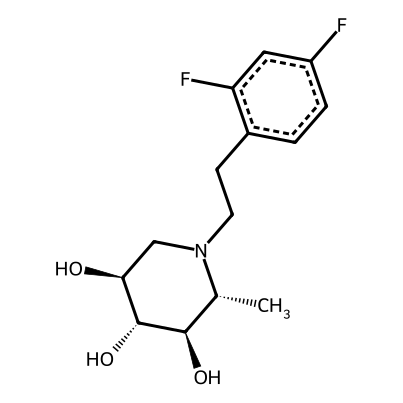 C[C@@H]1[C@@H](O)[C@H](O)[C@@H](O)CN1CCc1ccc(F)cc1F